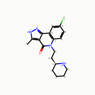 Cc1[nH]nc2c1c(=O)n(CC[C@@H]1CCCCN1)c1ccc(Cl)cc21